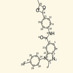 Cc1nc2ccc(C(=O)Nc3ccc(C4OC(C)O4)cc3)cc2n1-c1ccc(F)cc1